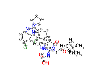 CC(C)(C)[Si](C)(C)OCCN1C(=O)C[C@@](C)(c2cccc(-n3c(N4CCCC4)nc4ccc(Cl)cc43)c2F)N/C1=N\C(=O)O